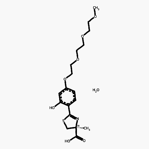 COCCOCCOCCOc1ccc(C2=N[C@@](C)(C(=O)O)CS2)c(O)c1.O